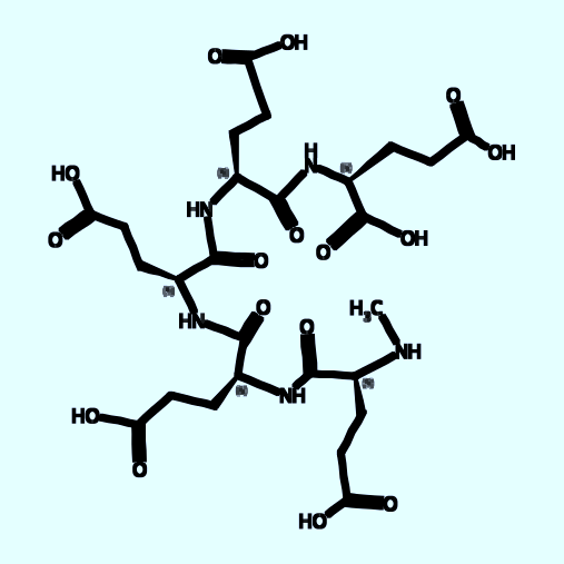 CN[C@@H](CCC(=O)O)C(=O)N[C@@H](CCC(=O)O)C(=O)N[C@@H](CCC(=O)O)C(=O)N[C@@H](CCC(=O)O)C(=O)N[C@@H](CCC(=O)O)C(=O)O